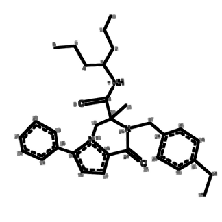 CCCC(CCC)NC(=O)C1(C)Cn2c(ccc2-c2ccccc2)C(=O)N1Cc1ccc(CC)cc1